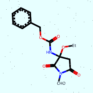 CCOC1(NC(=O)OCc2ccccc2)CC(=O)N(C=O)C1=O